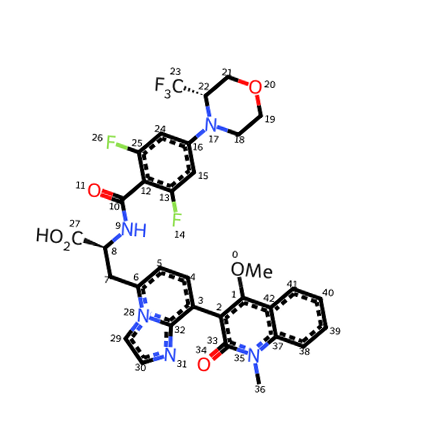 COc1c(-c2ccc(C[C@H](NC(=O)c3c(F)cc(N4CCOC[C@H]4C(F)(F)F)cc3F)C(=O)O)n3ccnc23)c(=O)n(C)c2ccccc12